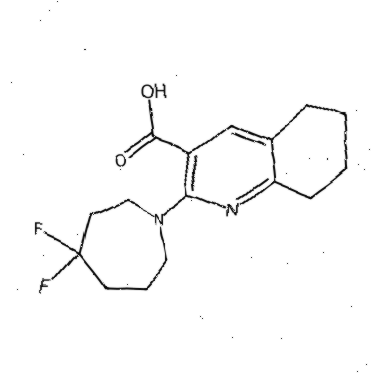 O=C(O)c1cc2c(nc1N1CCCC(F)(F)CC1)CCCC2